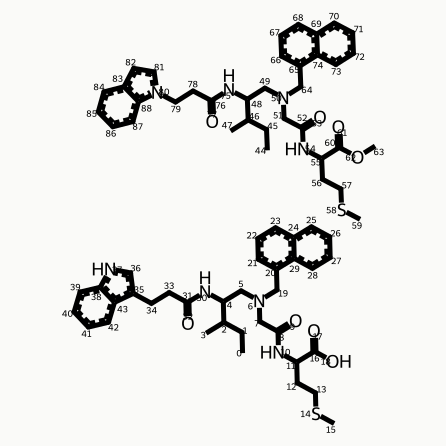 CCC(C)C(CN(CC(=O)NC(CCSC)C(=O)O)Cc1cccc2ccccc12)NC(=O)CCc1c[nH]c2ccccc12.CCC(C)C(CN(CC(=O)NC(CCSC)C(=O)OC)Cc1cccc2ccccc12)NC(=O)CCn1ccc2ccccc21